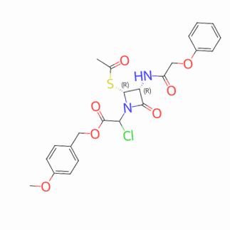 COc1ccc(COC(=O)C(Cl)N2C(=O)[C@@H](NC(=O)COc3ccccc3)[C@H]2SC(C)=O)cc1